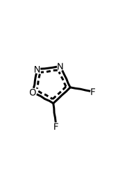 Fc1nnoc1F